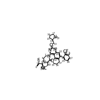 C=C(F)C(=O)N1CCN(c2nc(OCC3CCCN3C)nc3cc(-c4ccccc4C(F)(F)F)c4c(c23)OCCC4)CC1CC#N